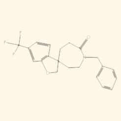 O=C1CCC2(CCN1Cc1ccccc1)COc1cc(C(F)(F)F)ccc12